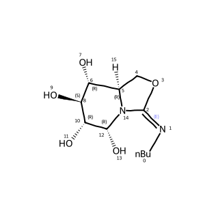 CCCC/N=C1/OC[C@@H]2[C@@H](O)[C@H](O)[C@@H](O)[C@@H](O)N12